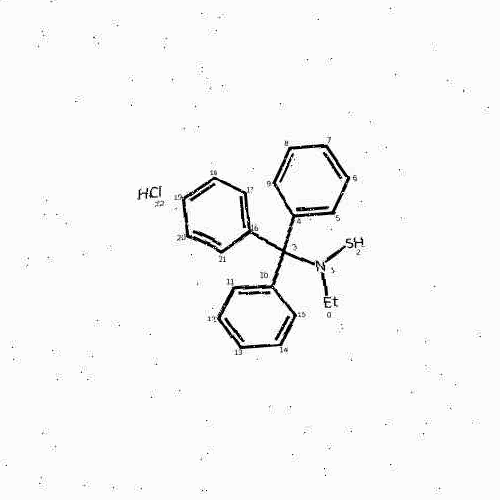 CCN(S)C(c1ccccc1)(c1ccccc1)c1ccccc1.Cl